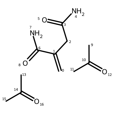 C=C(CC(N)=O)C(N)=O.CC(C)=O.CC(C)=O